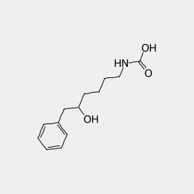 O=C(O)NCCCCC(O)Cc1ccccc1